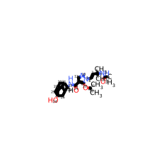 CC(=O)NC(C)(C)/C=C/n1ncc(C(=O)N[C@H]2C3CC4CC2C[C@](O)(C4)C3)c1OC(C)C